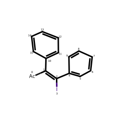 CC(=O)C(=C(I)c1ccccc1)c1ccccc1